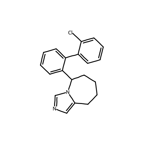 Clc1ccccc1-c1ccccc1C1CCCCc2cncn21